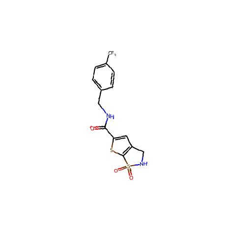 O=C(NCc1ccc(C(F)(F)F)cc1)c1cc2c(s1)S(=O)(=O)NC2